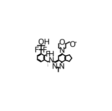 COCC1CN(c2cc3c(N[C@H](C)c4cccc(C(F)(F)C(C)(C)O)c4F)nc(C)nc3c3c2CCC3)CCO1